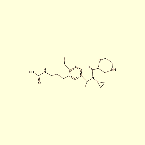 CCc1ncc(C(C)N(C(=O)C2CNCCO2)C2CC2)cc1CCCNC(=O)O